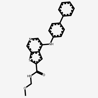 COCNC(=O)c1cc2c(Nc3ccc(-c4ccccc4)cc3)cncc2s1